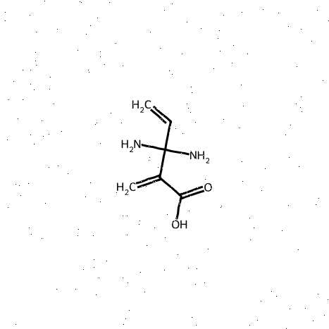 C=CC(N)(N)C(=C)C(=O)O